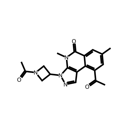 CC(=O)c1cc(C)cc2c(=O)n(C)c3c(cnn3C3CN(C(C)=O)C3)c12